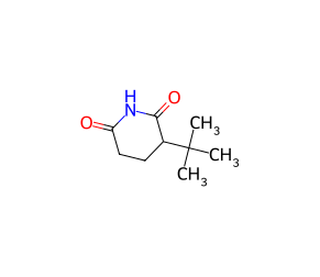 CC(C)(C)C1CCC(=O)NC1=O